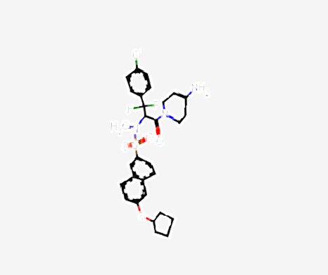 CN(C(C(=O)N1CCC(N)CC1)C(F)(F)c1ccc(Cl)cc1)S(=O)(=O)c1ccc2cc(OC3CCCC3)ccc2c1